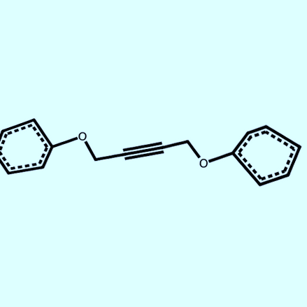 C(#CCOc1ccccc1)COc1ccccc1